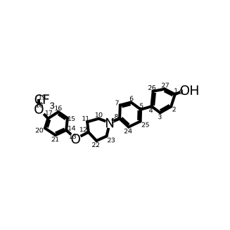 Oc1ccc(-c2ccc(N3CCC(Oc4ccc(OC(F)(F)F)cc4)CC3)cc2)cc1